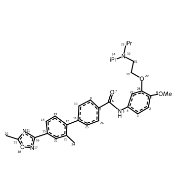 COc1ccc(NC(=O)c2ccc(-c3ccc(-c4noc(C)n4)cc3C)cc2)cc1OCCN(C(C)C)C(C)C